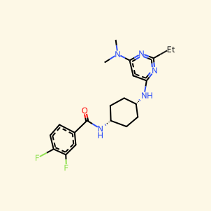 CCc1nc(N[C@H]2CC[C@@H](NC(=O)c3ccc(F)c(F)c3)CC2)cc(N(C)C)n1